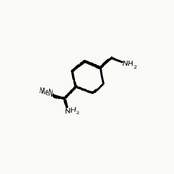 CNC(N)C1CCC(CN)CC1